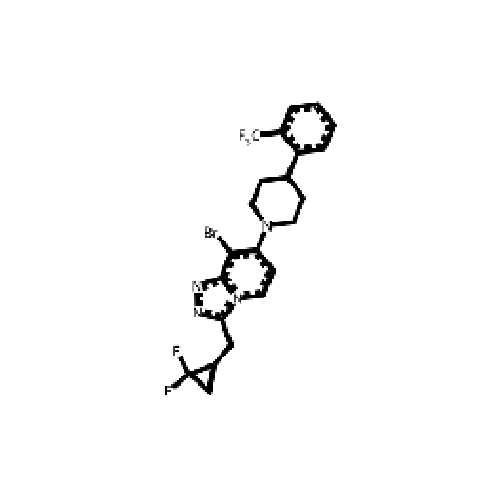 FC(F)(F)c1ccccc1C1CCN(c2ccn3c(CC4CC4(F)F)nnc3c2Br)CC1